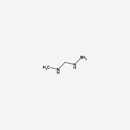 BNCNC